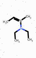 CC=[Si](C)N(CC)CC